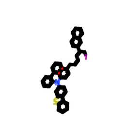 IC/C(=C\C=C/Cc1ccc(N(c2ccc3c(c2)sc2ccccc23)c2ccccc2-c2ccccc2)cc1)c1ccc2ccccc2c1